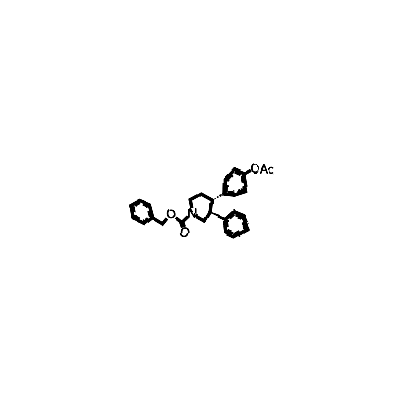 CC(=O)Oc1ccc([C@H]2CCN(C(=O)OCc3ccccc3)C[C@@H]2c2ccccc2)cc1